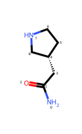 NC(=O)C[C@H]1CCNC1